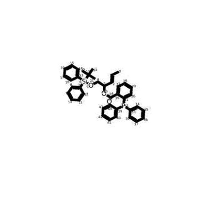 CC=CC(CO[Si](c1ccccc1)(c1ccccc1)C(C)(C)C)OC(=O)c1ccccc1P(c1ccccc1)c1ccccc1